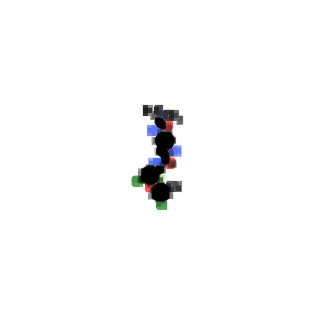 CN(C)CC(=O)Nc1ccc2[nH]c(C(=O)NCc3ccc(Cl)c(Oc4cc(Cl)cc(C#N)c4)c3F)cc2c1